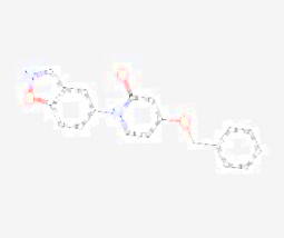 O=c1cc(OCc2ccccc2)ccn1-c1ccc2oncc2c1